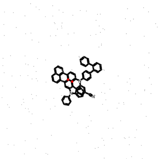 N#Cc1cccc(N(c2ccc(-c3ccccc3-c3ccccc3)cc2)c2ccc(-c3cccc4cccc(-c5ccc6c7ccccc7n(-c7ccccc7)c6c5)c34)cc2)c1